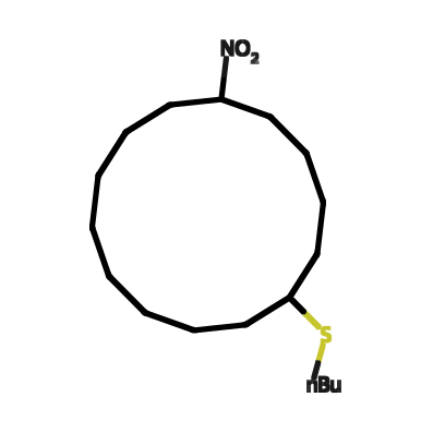 CCCCSC1CCCCCCCCC([N+](=O)[O-])CCCC1